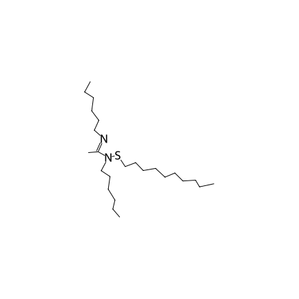 CCCCCCCCCCSN(CCCCCC)/C(C)=N/CCCCCC